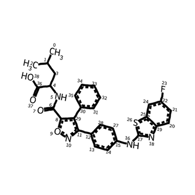 CC(C)CC(NC(=O)c1onc(-c2ccc(Nc3nc4ccc(F)cc4s3)cc2)c1-c1ccccc1)C(=O)O